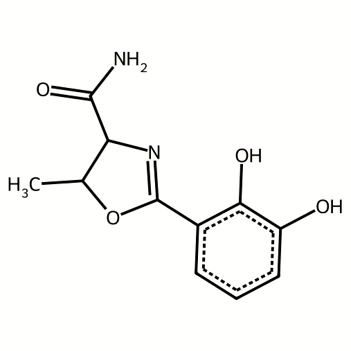 CC1OC(c2cccc(O)c2O)=NC1C(N)=O